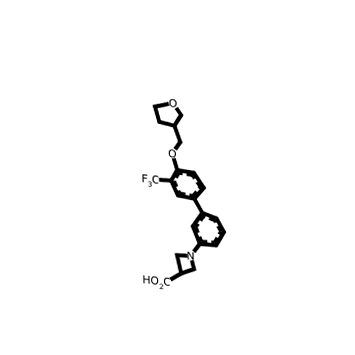 O=C(O)C1CN(c2cccc(-c3ccc(OCC4CCOC4)c(C(F)(F)F)c3)c2)C1